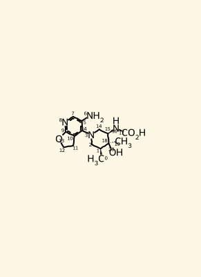 C[C@H]1CN(c2c(N)cnc3c2CCO3)C[C@@H](NC(=O)O)[C@@]1(C)O